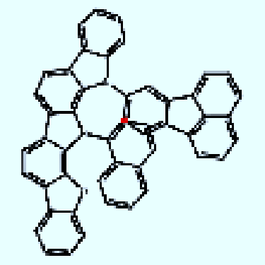 c1ccc2c(-n3c4c(ccc5c6ccccc6oc54)c4ccc5c6ccccc6n(-c6ccc7c(c6)-c6cccc8cccc-7c68)c5c43)cccc2c1